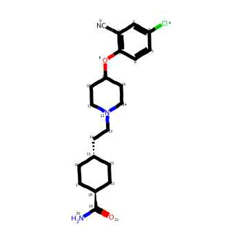 N#Cc1cc(Cl)ccc1OC1CCN(CC[C@H]2CC[C@H](C(N)=O)CC2)CC1